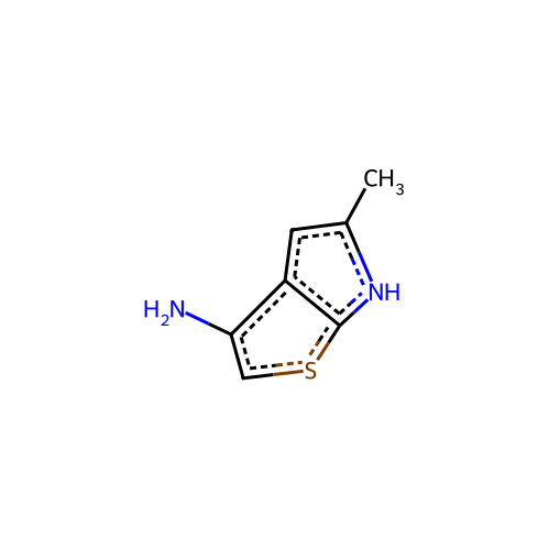 Cc1cc2c(N)csc2[nH]1